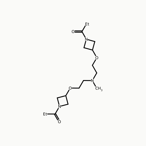 CCC(=O)N1CC(OCCN(C)CCOC2CN(C(=O)CC)C2)C1